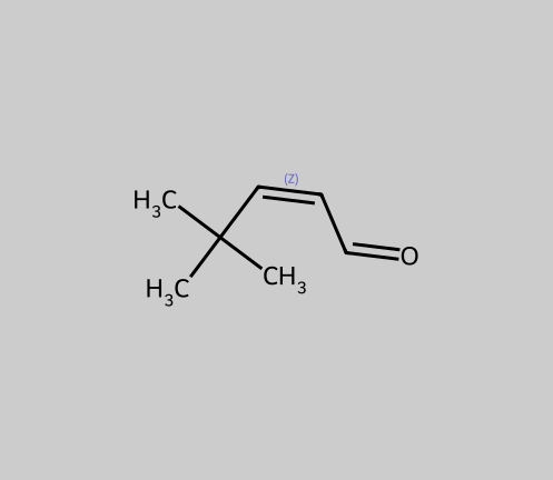 CC(C)(C)/C=C\C=O